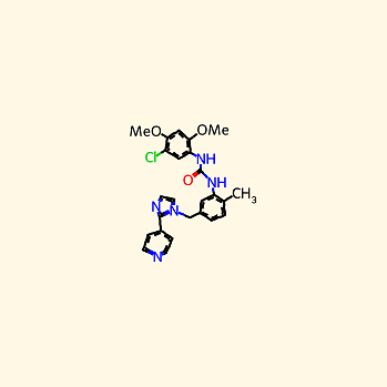 COc1cc(OC)c(NC(=O)Nc2cc(Cn3ccnc3-c3ccncc3)ccc2C)cc1Cl